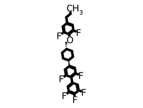 CCCc1cc(F)c(OC[C@H]2CC[C@H](c3cc(F)c(-c4cc(F)c(F)c(F)c4)c(F)c3)CC2)c(F)c1